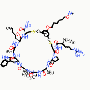 C=NOCCCCCCOc1cc2cc(c1)CSC[C@H](NC(=O)[C@H](CCCNC(=N)N)NC(C)=O)C(=O)N1CCC[C@H]1C(=O)N[C@@H](CCCC)C(=O)N[C@@H](CC(=O)O)C(=O)N[C@@H]([C@@H](C)CC)C(=O)N[C@@H](Cc1c[nH]c3ccccc13)C(=O)N[C@@H](C(C)C)C(=O)N[C@@H](CCCCN=O)C(=O)N[C@H](C(N)=O)CSC2